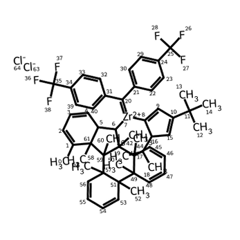 CC1=CC=CC2[CH]([Zr+2]([C]3=CC(C(C)(C)C)=CC3C(C)C)=[C](c3ccc(C(F)(F)F)cc3)c3ccc(C(F)(F)F)cc3)C3(C)C4(C)C=CC=CC4(C)C4(C)C=CC=CC4(C)C3(C)C12C.[Cl-].[Cl-]